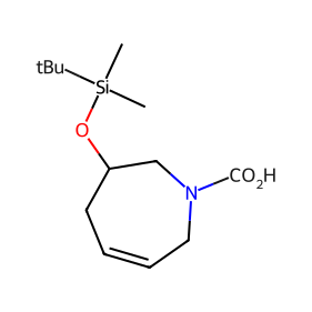 CC(C)(C)[Si](C)(C)OC1CC=CCN(C(=O)O)C1